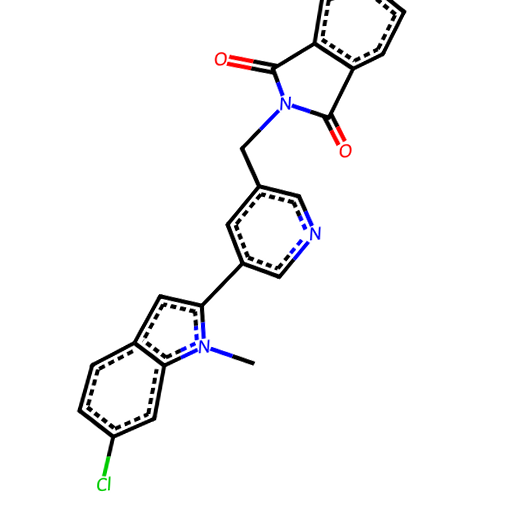 Cn1c(-c2cncc(CN3C(=O)c4ccccc4C3=O)c2)cc2ccc(Cl)cc21